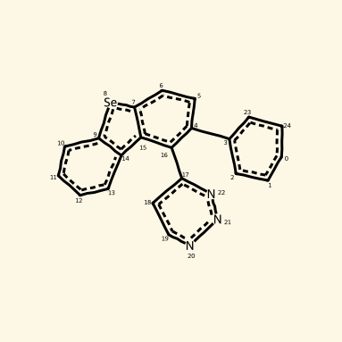 c1ccc(-c2ccc3[se]c4ccccc4c3c2-c2ccnnn2)cc1